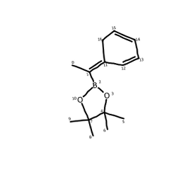 C/C(B1OC(C)(C)C(C)(C)O1)=C1/C=CC=CC1